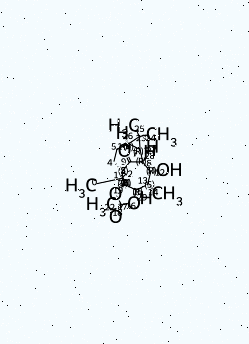 CC1=C[C@]23CC[C@@H]4[C@H]([C@@H](C2=O)[C@H](O)[C@H](C)[C@H]2OC(=O)O[C@]23[C@H]1C)C4(C)C